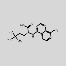 Cc1cccc2c(N[C@@H](CCC(C)(C)C)C(=O)O)ncnc12